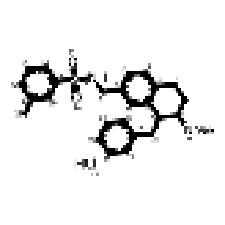 CNC1CCc2ccc(CNS(=O)(=O)c3cccc(C)c3)cc2C1Cc1ccccc1.Cl